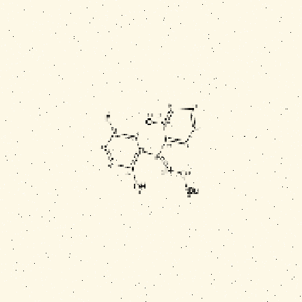 CC(C)(C)O/N=C(/c1cc(F)ccc1O)c1cccc[n+]1[O-]